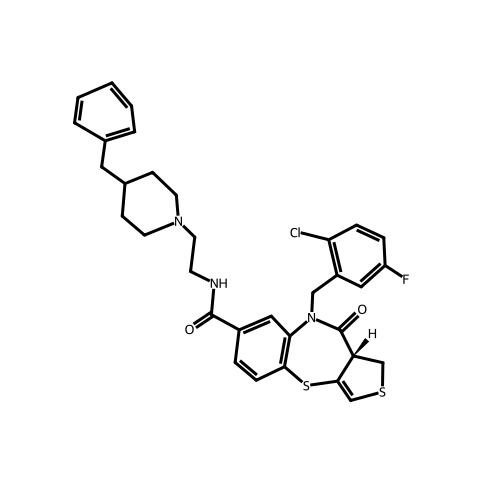 O=C(NCCN1CCC(Cc2ccccc2)CC1)c1ccc2c(c1)N(Cc1cc(F)ccc1Cl)C(=O)[C@@H]1CSC=C1S2